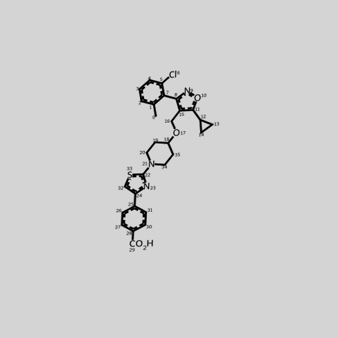 Cc1cccc(Cl)c1-c1noc(C2CC2)c1COC1CCN(c2nc(-c3ccc(C(=O)O)cc3)cs2)CC1